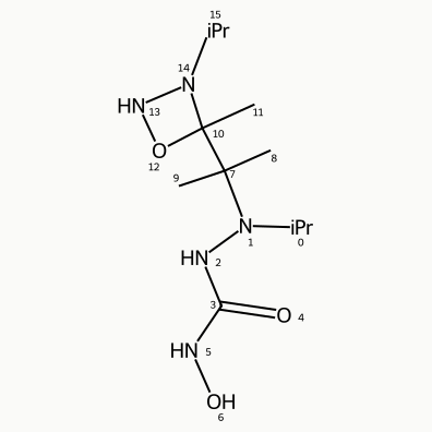 CC(C)N(NC(=O)NO)C(C)(C)C1(C)ONN1C(C)C